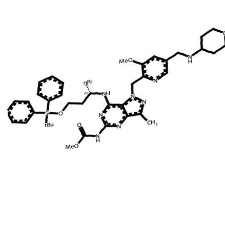 CCC[C@@H](CCO[Si](c1ccccc1)(c1ccccc1)C(C)(C)C)Nc1nc(NC(=O)OC)nc2c(C)nn(Cc3ncc(CNC4CCOCC4)cc3OC)c12